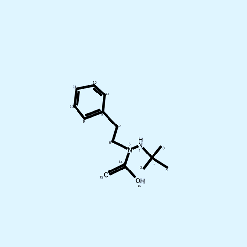 CC(C)(C)NN(CCc1ccccc1)C(=O)O